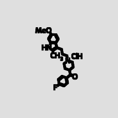 COc1ccc2c(CCCN3CCC(C(=O)c4ccc(F)cc4)CC3)c(C)[nH]c2c1.Cl